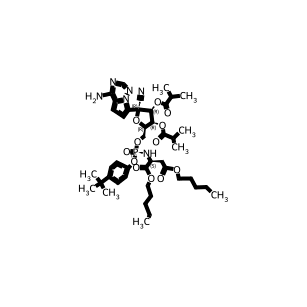 CCCCCOC(=O)C[C@H](N[P@](=O)(OC[C@H]1O[C@@](C#N)(c2ccc3c(N)ncnn23)[C@H](OC(=O)C(C)C)[C@@H]1OC(=O)C(C)C)Oc1ccc(C(C)(C)C)cc1)C(=O)OCCCCC